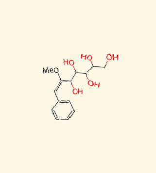 COC(=Cc1ccccc1)C(O)C(O)C(O)C(O)CO